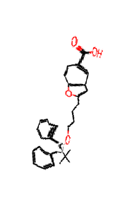 CC(C)(C)[Si](OCCCCc1cc2cc(C(=O)O)ccc2o1)(c1ccccc1)c1ccccc1